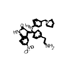 NCCc1ccc(/C(Nc2ccc(CN3CCCC3)cc2)=C2/C(=O)Nc3ccc([N+](=O)[O-])cc32)cc1